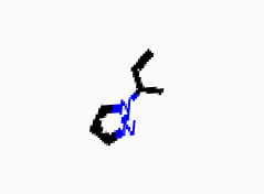 C=CC(C)n1cccn1